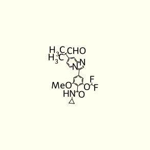 COc1cc(-c2cnc3cc(C(C)(C)C=O)ccn23)cc(OC(F)F)c1C(=O)NC1CC1